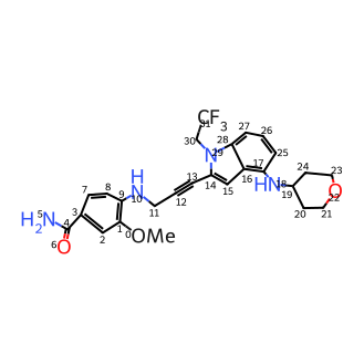 COc1cc(C(N)=O)ccc1NCC#Cc1cc2c(NC3CCOCC3)cccc2n1CC(F)(F)F